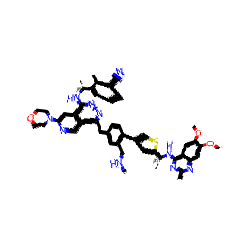 CNCc1cc(Cc2nnc(N[C@H](C)c3cccc(C#N)c3C)c3cc(N4CCOCC4)ncc23)ccc1-c1csc([C@@H](C)Nc2nc(C)nc3cc(OC)c(OC)cc23)c1